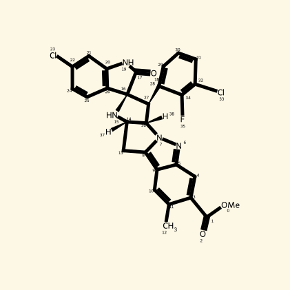 COC(=O)c1cc2nn3c(c2cc1C)C[C@@H]1N[C@@]2(C(=O)Nc4cc(Cl)ccc42)[C@@H](c2cccc(Cl)c2F)[C@@H]13